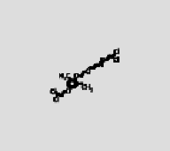 CCc1cc(OCC=C(Cl)Cl)cc(C)c1OCCOCCC=NOCC=C(Cl)Cl